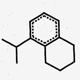 CC(C)c1cccc2c1CCCC2